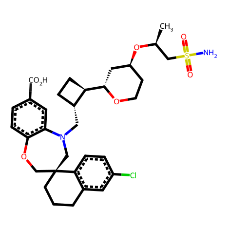 C[C@@H](CS(N)(=O)=O)O[C@H]1CCO[C@H]([C@@H]2CC[C@H]2CN2C[C@@]3(CCCc4cc(Cl)ccc43)COc3ccc(C(=O)O)cc32)C1